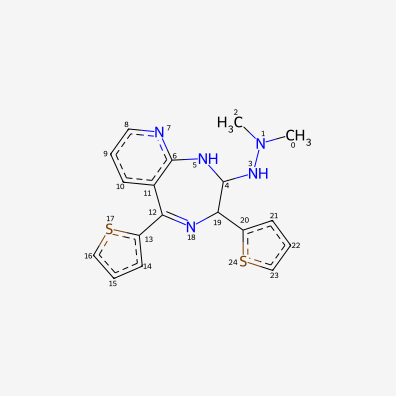 CN(C)NC1Nc2ncccc2C(c2cccs2)=NC1c1cccs1